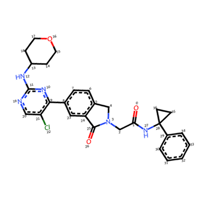 O=C(CN1Cc2ccc(-c3nc(NC4CCOCC4)ncc3Cl)cc2C1=O)NC1(c2ccccc2)CC1